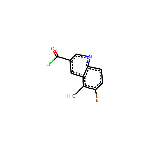 Cc1c(Br)ccc2ncc(C(=O)Cl)cc12